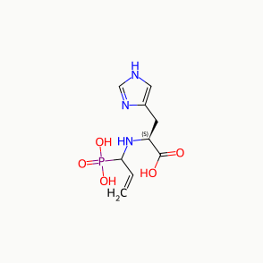 C=CC(N[C@@H](Cc1c[nH]cn1)C(=O)O)P(=O)(O)O